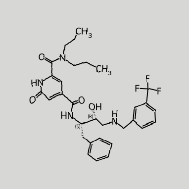 CCCN(CCC)C(=O)c1cc(C(=O)N[C@@H](Cc2ccccc2)[C@H](O)CNCc2cccc(C(F)(F)F)c2)cc(=O)[nH]1